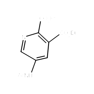 CCOC(=O)c1cc(NC(C)=O)cnc1C(=O)OCC